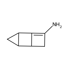 NC1=C2C(C1)C1CC21